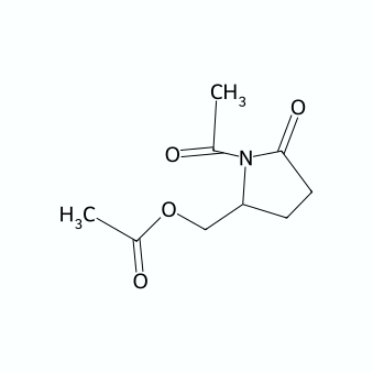 CC(=O)OCC1CCC(=O)N1C(C)=O